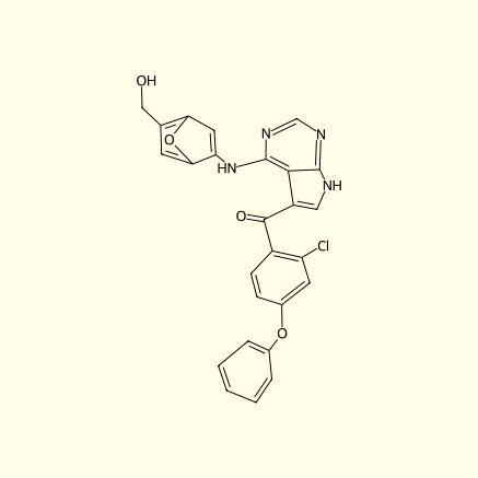 O=C(c1ccc(Oc2ccccc2)cc1Cl)c1c[nH]c2ncnc(Nc3cc4oc3cc4CO)c12